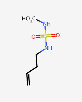 C=CCCNS(=O)(=O)NC(=O)O